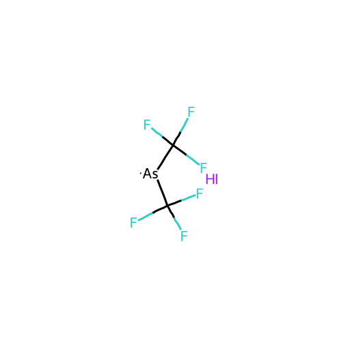 FC(F)(F)[As]C(F)(F)F.I